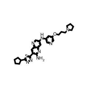 Nc1nc2cc(Nc3cncc(OCCCN4CCCC4)c3)cnc2cc1-c1nnc(C2CCCC2)s1